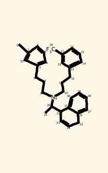 Cc1cccc(CCCN(CCCc2cccc(C(F)(F)F)c2)C(C)C2C=CCc3ccccc32)c1